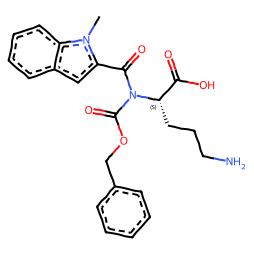 Cn1c(C(=O)N(C(=O)OCc2ccccc2)[C@@H](CCCN)C(=O)O)cc2ccccc21